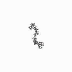 C=C(COc1ccc(Cl)c2c(=O)c3ccccc3sc12)OC1CC(CC)(OCC(C)(C)COC(C)(CC)CC(C)OC(C)(CC)C(=O)COc2ccc(Cl)c3c(=O)c4ccccc4sc23)C1